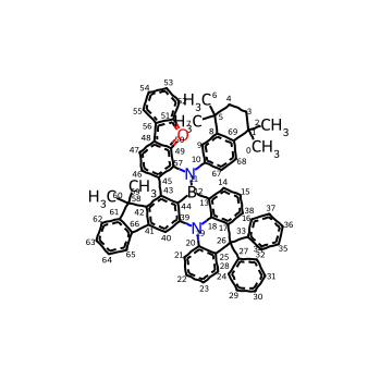 CC1(C)CCC(C)(C)c2cc(N3B4c5cccc6c5N(c5ccccc5C6(c5ccccc5)c5ccccc5)c5cc6c(c(c54)-c4ccc5c(oc7ccccc75)c43)C(C)(C)c3ccccc3-6)ccc21